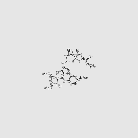 C=CC(=O)N1C[C@@H]2[C@H](C1)[C@H]2N(C)CCCc1nc2c(-c3c(Cl)c(OC)cc(OC)c3Cl)cc3cnc(NC)nc3n2n1